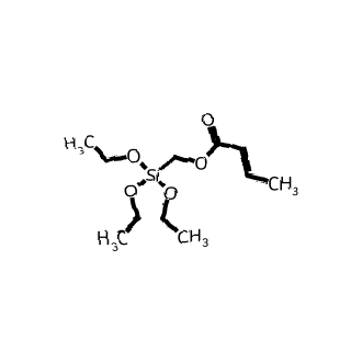 CC=CC(=O)OC[Si](OCC)(OCC)OCC